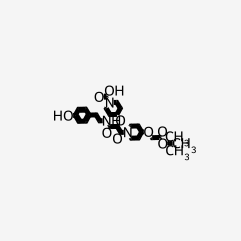 CC(C)(C)OC(=O)COC1CCN(C(=O)[C@@H](OC2CCN(C(=O)O)CC2)C(=O)NCCc2ccc(O)cc2)CC1